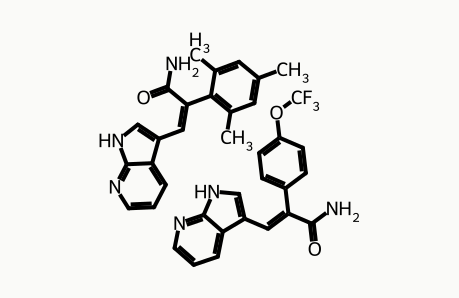 Cc1cc(C)c(C(=Cc2c[nH]c3ncccc23)C(N)=O)c(C)c1.NC(=O)C(=Cc1c[nH]c2ncccc12)c1ccc(OC(F)(F)F)cc1